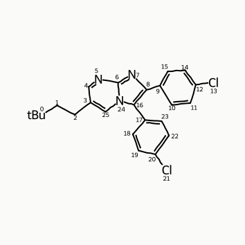 CC(C)(C)CCc1cnc2nc(-c3ccc(Cl)cc3)c(-c3ccc(Cl)cc3)n2c1